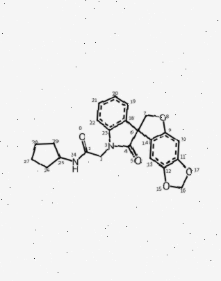 O=C(CN1C(=O)C2(COc3cc4c(cc32)OCO4)c2ccccc21)NC1CCCC1